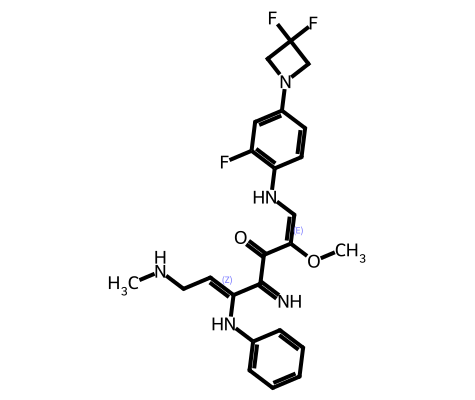 CNC/C=C(\Nc1ccccc1)C(=N)C(=O)/C(=C\Nc1ccc(N2CC(F)(F)C2)cc1F)OC